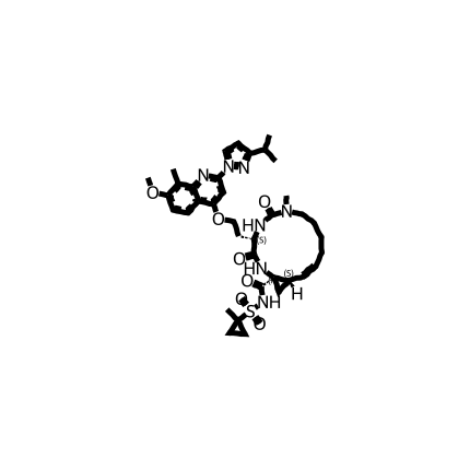 COc1ccc2c(OCC[C@@H]3NC(=O)N(C)CCCCC=C[C@@H]4C[C@@]4(C(=O)NS(=O)(=O)C4(C)CC4)NC3=O)cc(-n3ccc(C(C)C)n3)nc2c1C